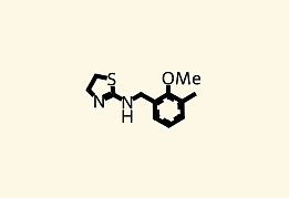 COc1c(C)cccc1CNC1=NCCS1